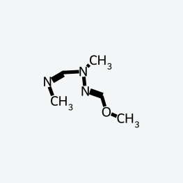 C/N=C\N(C)/N=C/OC